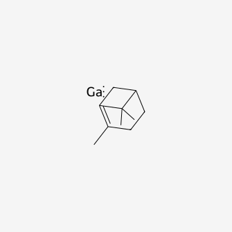 CC1=C2CC(CC1)C2(C)C.[Ga]